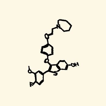 COc1cc(-c2sc3cc(O)ccc3c2Oc2ccc(OCCN3CCCCC3)cc2)ccc1F